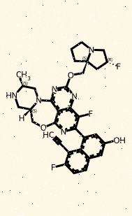 C#Cc1c(F)ccc2cc(O)cc(-c3nc4c5c(nc(OC[C@@]67CCCN6C[C@H](F)C7)nc5c3F)N3C[C@H](C)NC[C@H]3CO4)c12